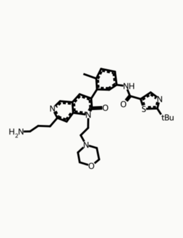 Cc1ccc(NC(=O)c2cnc(C(C)(C)C)s2)cc1-c1cc2cnc(CCCN)cc2n(CCN2CCOCC2)c1=O